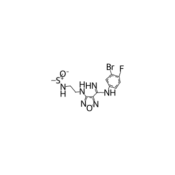 C[S+]([O-])NCCNc1nonc1C(=N)Nc1ccc(F)c(Br)c1